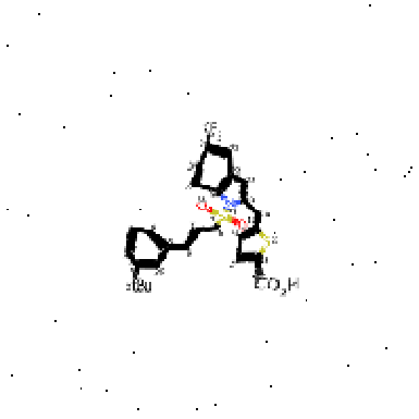 CC(C)(C)c1cccc(C=CCS(=O)(=O)n2c(Cc3ccc(C(=O)O)s3)cc3cc(C(F)(F)F)ccc32)c1